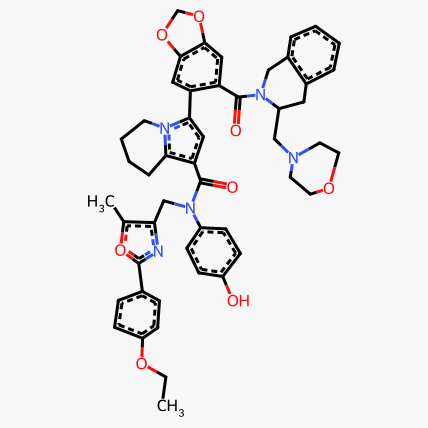 CCOc1ccc(-c2nc(CN(C(=O)c3cc(-c4cc5c(cc4C(=O)N4Cc6ccccc6CC4CN4CCOCC4)OCO5)n4c3CCCC4)c3ccc(O)cc3)c(C)o2)cc1